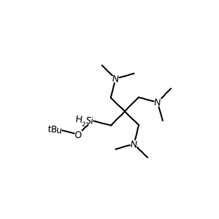 CN(C)CC(C[SiH2]OC(C)(C)C)(CN(C)C)CN(C)C